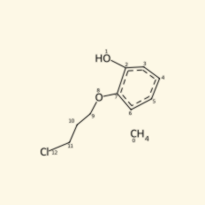 C.Oc1ccccc1OCCCCl